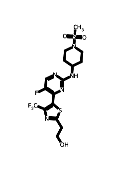 CS(=O)(=O)N1CCC(Nc2ncc(F)c(-c3sc(CCO)nc3C(F)(F)F)n2)CC1